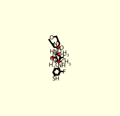 Cc1c(Nc2ccc(S)cc2F)ncnc1OC1CC2COCC(C1)N2C(=O)NNC(=O)C(C)C